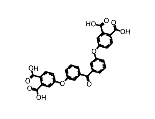 O=C(c1cccc(Oc2ccc(C(=O)O)c(C(=O)O)c2)c1)c1cccc(Oc2ccc(C(=O)O)c(C(=O)O)c2)c1